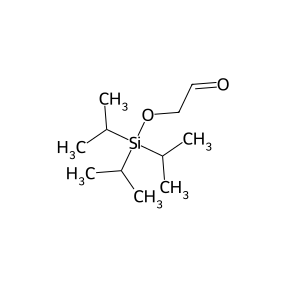 CC(C)[Si](OCC=O)(C(C)C)C(C)C